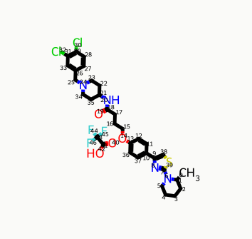 CC1CCCCN1c1nc(-c2ccc(OCCCC(=O)NC3CCN(Cc4ccc(Cl)c(Cl)c4)CC3)cc2)cs1.O=C(O)C(F)(F)F